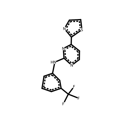 FC(F)(F)c1cccc(Nc2nccc(-c3nccs3)n2)c1